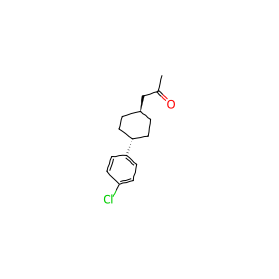 CC(=O)C[C@H]1CC[C@H](c2ccc(Cl)cc2)CC1